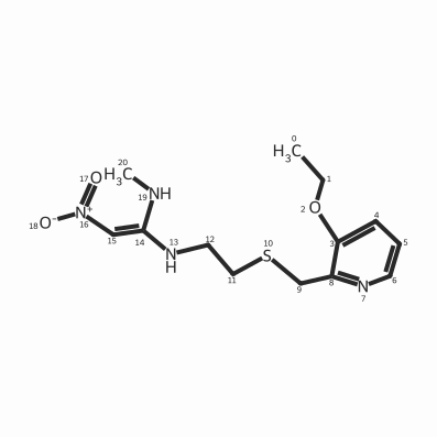 CCOc1cccnc1CSCCNC(=C[N+](=O)[O-])NC